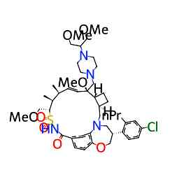 CCCc1cc(Cl)ccc1[C@@H]1COc2ccc3cc2N(C1)C[C@@H]1CC[C@H]1[C@](CN1CCN(C(COC)COC)CC1)(OC)/C=C/[C@H](C)[C@H](C)[C@@H](COC)S(=O)(=O)NC3=O